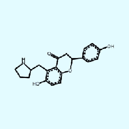 O=C1CC(c2ccc(O)cc2)Oc2ccc(O)c(CC3CCCN3)c21